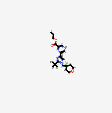 CCCOC(=O)c1cncc(-c2cn(CC3(F)CCOCC3)c(C(C)(C)C)n2)n1